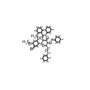 COc1cc(OC)c([C@@H]2O[C@H](COCc3ccccc3)[C@@H](OCc3ccccc3)[C@H](OCc3ccccc3)[C@H]2OCc2ccccc2)cc1Br